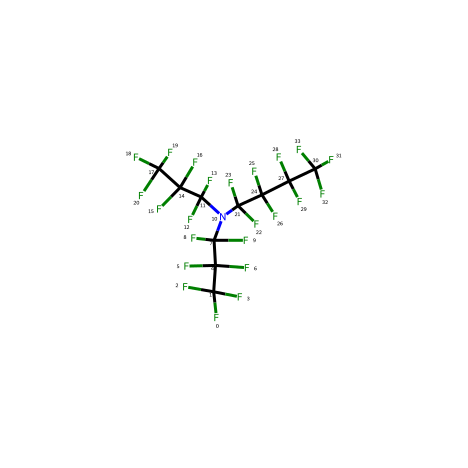 FC(F)(F)C(F)(F)C(F)(F)N(C(F)(F)C(F)(F)C(F)(F)F)C(F)(F)C(F)(F)C(F)(F)C(F)(F)F